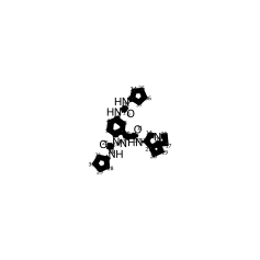 O=C(Nc1ccc2c(c1)c(C(=O)N[C@H]1CN3CCC34CCC14)nn2C(=O)NC1CCCC1)NC1CCCC1